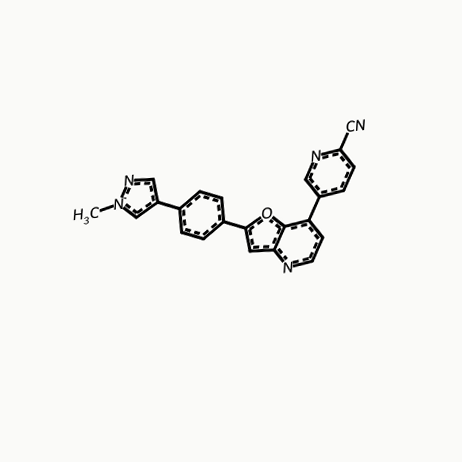 Cn1cc(-c2ccc(-c3cc4nccc(-c5ccc(C#N)nc5)c4o3)cc2)cn1